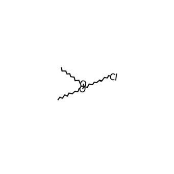 CCCCCCCCCCOC(CCCCC/C=C/CCCCl)OCCCCCCCCCC